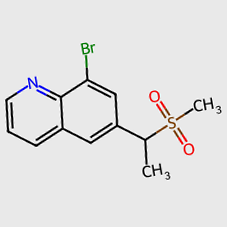 CC(c1cc(Br)c2ncccc2c1)S(C)(=O)=O